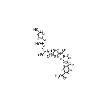 CCCC(CCN(O)Cc1ccc(C#N)cc1)NC(=O)c1ccc(C(=O)N2CCC(C(=O)c3ccc([S+](C)[O-])cc3)CC2)cn1